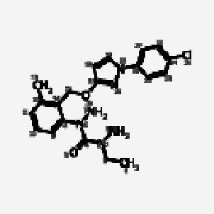 CCN(N)C(=O)N(N)c1cccc(C)c1COc1ccn(-c2ccc(Cl)cc2)n1